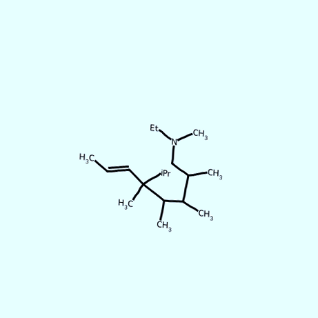 CC=CC(C)(C(C)C)C(C)C(C)C(C)CN(C)CC